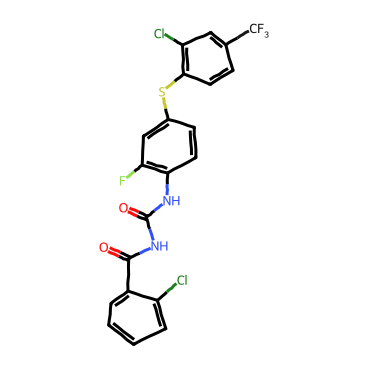 O=C(NC(=O)c1ccccc1Cl)Nc1ccc(Sc2ccc(C(F)(F)F)cc2Cl)cc1F